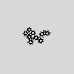 c1ccc(S(c2ccccc2)(c2ccccc2)c2ccc3c4ccccc4n(-c4ccc5c(c4)c4ccccc4n5-c4ccc5oc6ccccc6c5c4)c3c2)cc1